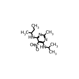 CCC(C)Nc1nc(C)nc(NC(C)C)c1[N+](=O)[O-]